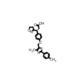 Cc1ccc(-c2nc(C)c(COc3ccc([C@H](CC(=O)O)C4=NOCC4)cc3)s2)cc1